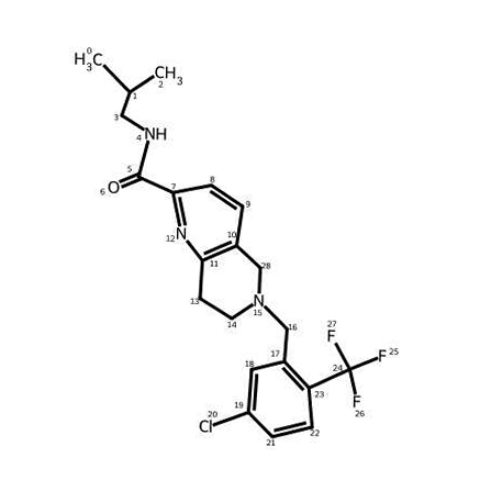 CC(C)CNC(=O)c1ccc2c(n1)CCN(Cc1cc(Cl)ccc1C(F)(F)F)C2